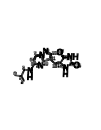 CC(C)CNc1ccn2ncc(/C=C3/NC(=O)NC3=O)c2n1